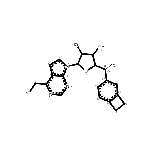 OC1C(O)C(n2ccc3c(CCl)ncnc32)OC1[C@H](O)c1ccc2c(c1)CC2